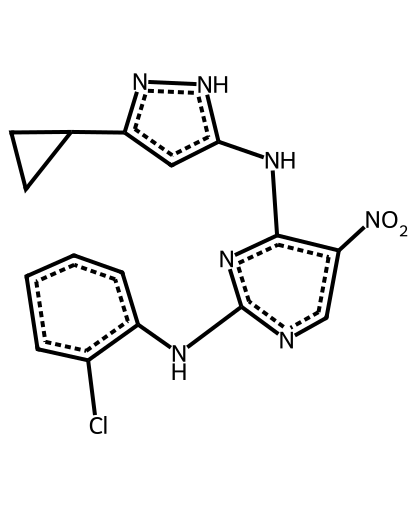 O=[N+]([O-])c1cnc(Nc2ccccc2Cl)nc1Nc1cc(C2CC2)n[nH]1